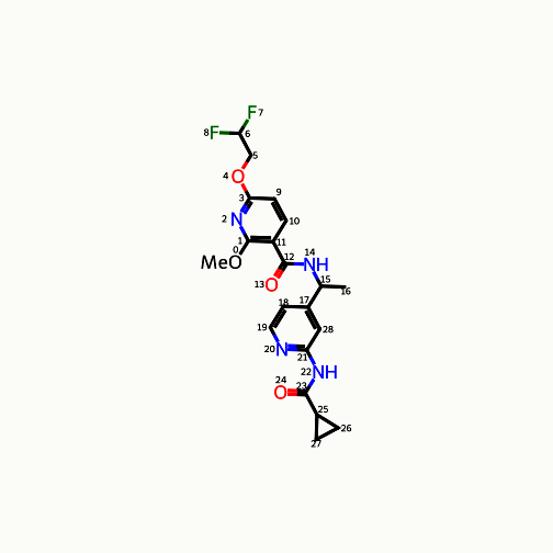 COc1nc(OCC(F)F)ccc1C(=O)NC(C)c1ccnc(NC(=O)C2CC2)c1